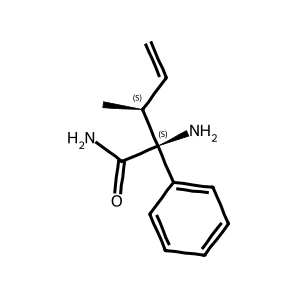 C=C[C@H](C)[C@@](N)(C(N)=O)c1ccccc1